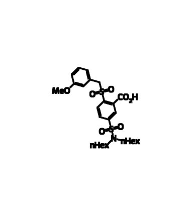 CCCCCCN(CCCCCC)S(=O)(=O)c1ccc(S(=O)(=O)Cc2cccc(OC)c2)c(C(=O)O)c1